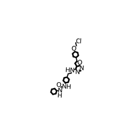 O=C(Nc1ccccc1)Nc1ccc(CCNc2ncnc3oc(-c4ccc(OCCCl)cc4)cc23)cc1